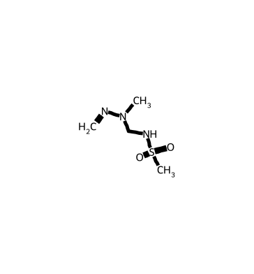 C=NN(C)CNS(C)(=O)=O